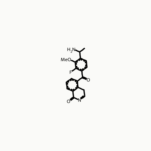 COc1c(C(C)N)ccc(C(=O)c2cccc3c2CC=NC3=O)c1F